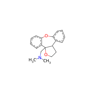 CN(C)CC12OCCC1c1ccccc1Oc1ccccc12